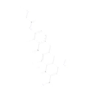 CCNCC(=O)Nc1ccc2c(c1O)C(=O)C1=C(O)[C@]3(O)C(=O)C(C(N)=O)=C(O)[C@@H](N(C)C)C3CC1C2.Cl.Cl